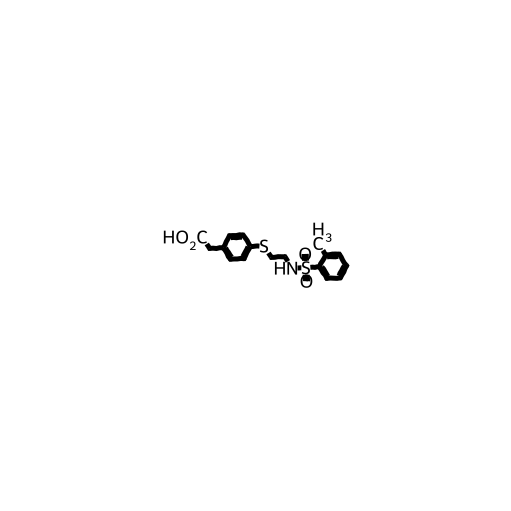 Cc1ccccc1S(=O)(=O)NCCSc1ccc(CC(=O)O)cc1